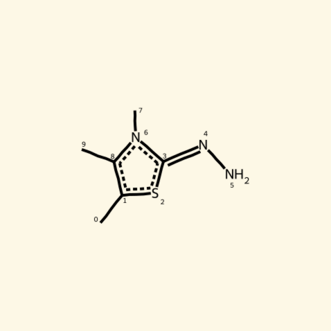 Cc1sc(=NN)n(C)c1C